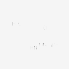 Cc1ccc(Cl)c(/C(C=N)=C/NC(C)C)c1